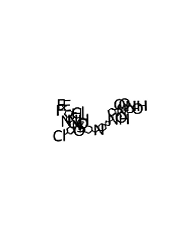 O=C1CCC(N2C(=O)c3cccc(NC4CC5(CCN(CC6CCC(S(=O)(=O)Nc7ccc(Cl)cc7-c7nc8cc(C(F)(F)F)cc(Cl)c8[nH]7)CC6)CC5)C4)c3C2=O)C(=O)N1